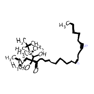 CCCCC/C=C\C/C=C\CCCCCCCC(=O)C(O)(CN(C)C)C(O)[Si](C)(C)C(C)(C)C